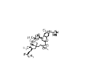 C=C/C(=C\C=C(/C)F)CC(C#N)(CC)CCN(C)C(=O)C1CN(C(=O)OC(C)(C)C)c2cc(Cl)c(NC3N=NN=N3)cc2O1